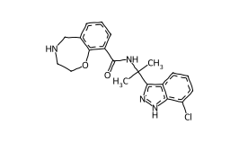 CC(C)(NC(=O)c1cccc2c1OCCNC2)c1n[nH]c2c(Cl)cccc12